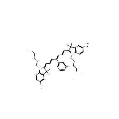 CC1(C)C(=CC=CC(=CC=CC2=[N+](CCCCS(=O)(=O)O)c3ccc(S(=O)(=O)[O-])cc3C2(C)C)c2cccc(C(=O)O)c2)N(CCCCS(=O)(=O)O)c2ccc(S(=O)(=O)O)cc21.[NaH]